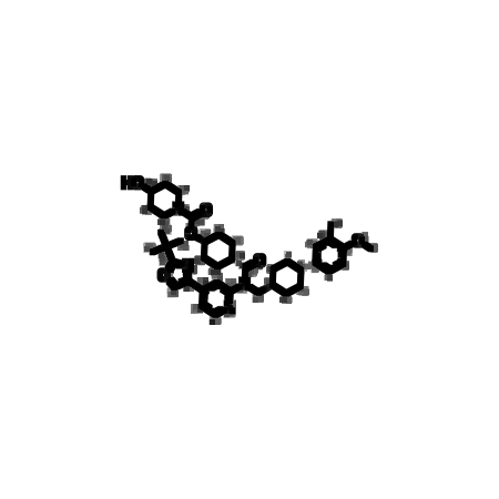 COc1ccc([C@H]2CC[C@H](CN(c3cc(-c4coc(C(C)(C)C)n4)ccn3)C(=O)[C@H]3CC[C@H](OC(=O)N4CCC(O)CC4)CC3)CC2)cc1C